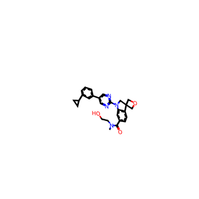 CN(CCO)C(=O)c1ccc2c(c1)N(c1ncc(-c3cccc(C4CC4)c3)cn1)CC21COC1